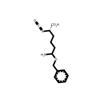 NC(CCC[C@H](N=C=O)C(=O)O)OCc1ccccc1